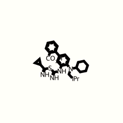 CC(C)CN(c1ccc(-c2ccccc2C(=O)O)cc1NC(=N)SC(=N)C1CC1)C1CCCCC1